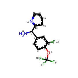 NC(c1ccc(OC(F)(F)F)c(F)c1)c1ccccn1